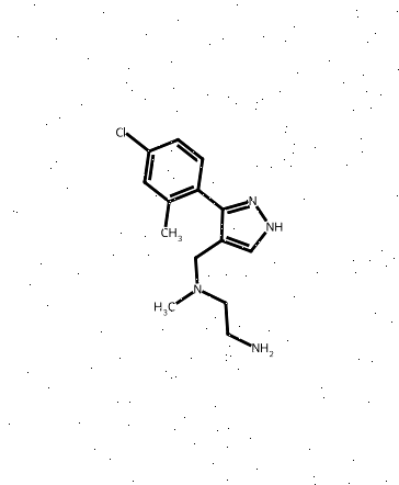 Cc1cc(Cl)ccc1-c1n[nH]cc1CN(C)CCN